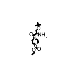 CCOC(=O)N1CCN(C(=O)[C@@H](N)COC(C)(C)C)CC1